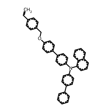 C=Cc1ccc(COc2ccc(-c3ccc(N(c4ccc(-c5ccccc5)cc4)c4cccc5ccccc45)cc3)cc2)cc1